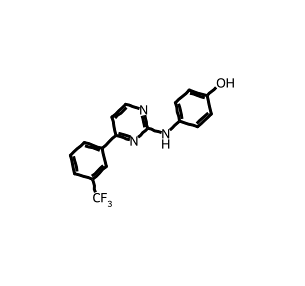 Oc1ccc(Nc2nccc(-c3cccc(C(F)(F)F)c3)n2)cc1